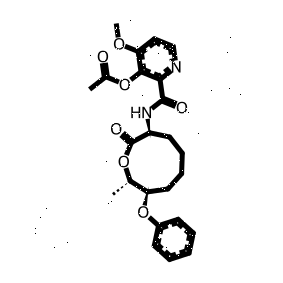 COc1ccnc(C(=O)N[C@H]2CCCC[C@@H](Oc3ccccc3)[C@H](C)OC2=O)c1OC(C)=O